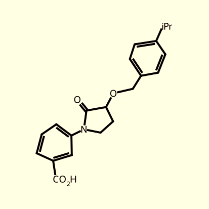 CC(C)c1ccc(COC2CCN(c3cccc(C(=O)O)c3)C2=O)cc1